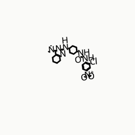 CN(C)c1nc(NC2CCC(NC(=O)Nc3ccc([N+](=O)[O-])cc3Cl)CC2)nc2c1CCCC2